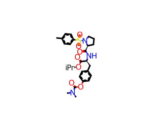 Cc1ccc(S(=O)(=O)N2CCC[C@H]2C(=O)N[C@@H](Cc2ccc(OC(=O)N(C)C)cc2)C(=O)OC(C)C)cc1